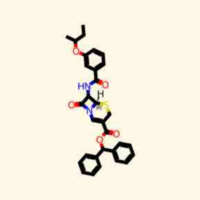 CCC(C)Oc1cccc(C(=O)NC2C(=O)N3C=C(C(=O)OC(c4ccccc4)c4ccccc4)CS[C@H]23)c1